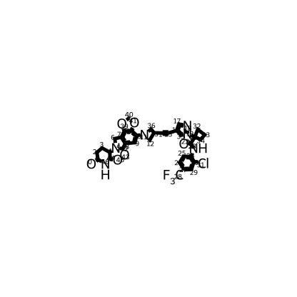 O=C1CCC(N2Cc3c(cc(N4CC(C#Cc5cnn(C6(C(=O)Nc7ccc(C(F)(F)F)cc7Cl)CCC6)c5)C4)c4c3OCO4)C2=O)C(=O)N1